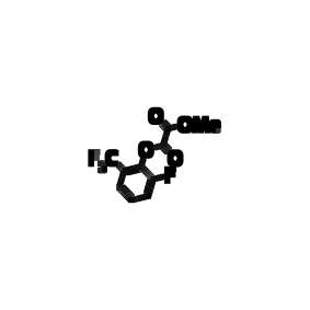 COC(=O)C(=O)Oc1c(F)cccc1C(F)(F)F